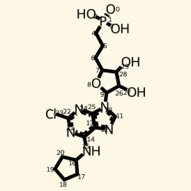 O=P(O)(O)CCCC1OC(n2cnc3c(NC4CCCC4)nc(Cl)nc32)C(O)C1O